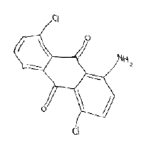 Nc1ccc(Cl)c2c1C(=O)c1c(Cl)cccc1C2=O